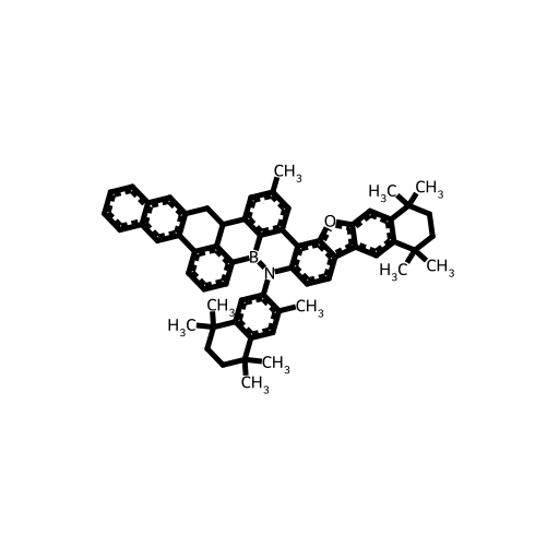 Cc1cc2c3c(c1)C1Cc4cc5ccccc5cc4-c4cccc(c41)B3N(c1cc3c(cc1C)C(C)(C)CCC3(C)C)c1ccc3c(oc4cc5c(cc43)C(C)(C)CCC5(C)C)c1-2